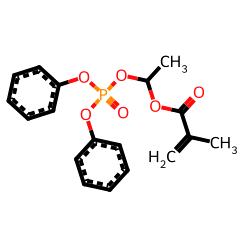 C=C(C)C(=O)OC(C)OP(=O)(Oc1ccccc1)Oc1ccccc1